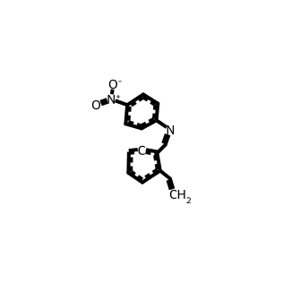 C=Cc1ccccc1/C=N\c1ccc([N+](=O)[O-])cc1